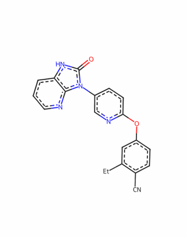 CCc1cc(Oc2ccc(-n3c(=O)[nH]c4cccnc43)cn2)ccc1C#N